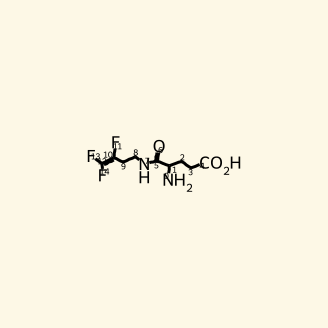 NC(CCC(=O)O)C(=O)NCCC(F)=C(F)F